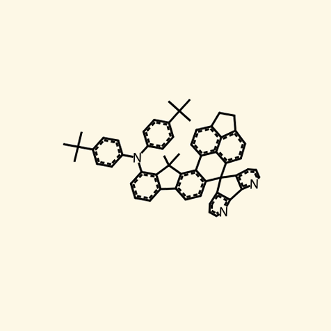 CC(C)(C)c1ccc(N(c2ccc(C(C)(C)C)cc2)c2cccc3c2C(C)(C)c2c-3ccc3c2-c2ccc4c5c(ccc(c25)C32c3cccnc3-c3ncccc32)CC4)cc1